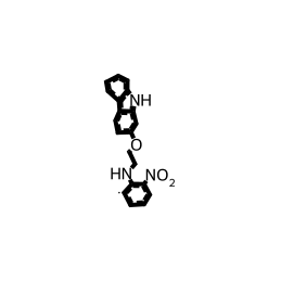 O=[N+]([O-])c1ccc[c]c1NCCOc1ccc2c(c1)[nH]c1ccccc12